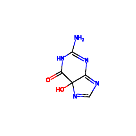 NC1=NC2=NC=NC2(O)C(=O)N1